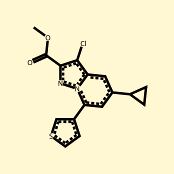 COC(=O)c1nn2c(-c3ccsc3)cc(C3CC3)cc2c1Cl